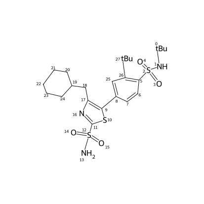 CC(C)(C)NS(=O)(=O)c1ccc(-c2sc(S(N)(=O)=O)nc2CC2CCCCC2)cc1C(C)(C)C